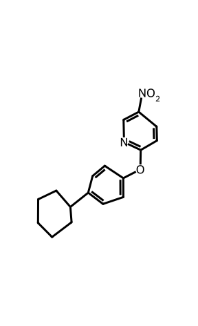 O=[N+]([O-])c1ccc(Oc2ccc(C3CCCCC3)cc2)nc1